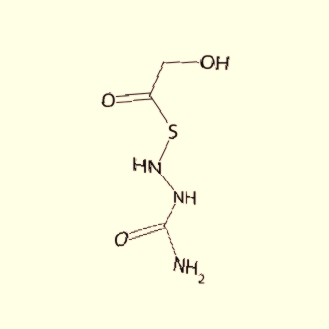 NC(=O)NNSC(=O)CO